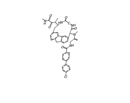 C=C(CNC(=O)c1ccc(-c2ccc(Cl)cc2)cc1)N(C)C1C(=O)NCC(=O)NC(C(C)C(=O)C(=O)NC)Cc2ccc3c(c2)-c2cc1ccc2C3